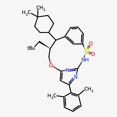 Cc1cccc(C)c1-c1cc2nc(n1)NS(=O)(=O)c1cccc(c1)C(C1CCC(C)(C)CC1)[C@H](CC(C)(C)C)CO2